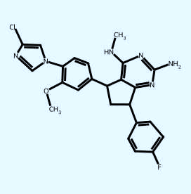 CNc1nc(N)nc2c1C(c1ccc(-n3cnc(Cl)c3)c(OC)c1)CC2c1ccc(F)cc1